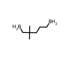 BCCCC(C)(C)CB